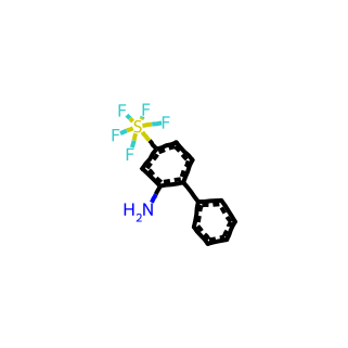 Nc1cc(S(F)(F)(F)(F)F)ccc1-c1ccccc1